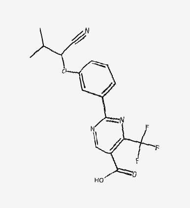 CC(C)C(C#N)Oc1cccc(-c2ncc(C(=O)O)c(C(F)(F)F)n2)c1